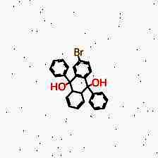 OC1(c2ccccc2)c2ccc(Br)cc2C(O)(c2ccccc2)C2C=CC=CC21